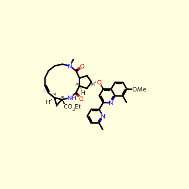 CCOC(=O)[C@@]12C[C@H]1/C=C\CCCCN(C)C(=O)C1C[C@H](Oc3cc(-c4cccc(C)n4)nc4c(C)c(OC)ccc34)C[C@H]1C(=O)N2